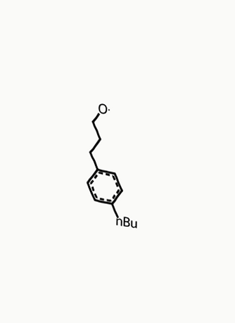 CCCCc1ccc(CCC[O])cc1